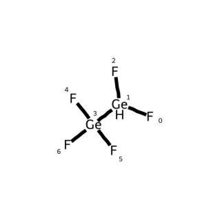 [F][GeH]([F])[Ge]([F])([F])[F]